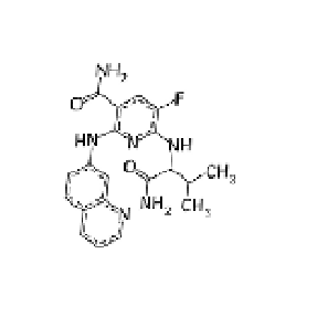 CC(C)C(Nc1nc(Nc2ccc3cccnc3c2)c(C(N)=O)cc1F)C(N)=O